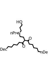 CCCCCCCCCCCCCCCC(=O)C(CCN(CCC)CCCO)C(=O)CCCCCCCCCCCCCCC